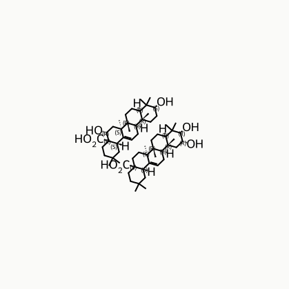 CC1(C)CC[C@]2(C(=O)O)CC[C@]3(C)C(=CC[C@@H]4[C@@]5(C)C[C@@H](O)[C@H](O)C(C)(C)[C@@H]5CC[C@]43C)[C@@H]2C1.CC1(C)CC[C@]2(C(=O)O)[C@H](O)C[C@]3(C)C(=CC[C@@H]4[C@@]5(C)CC[C@H](O)C(C)(C)[C@@H]5CC[C@]43C)[C@@H]2C1